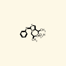 C=C(C)Cn1c(C(C)C(=O)O)csc1=Nc1ccccc1